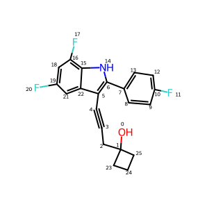 OC1(CC#Cc2c(-c3ccc(F)cc3)[nH]c3c(F)cc(F)cc23)CCC1